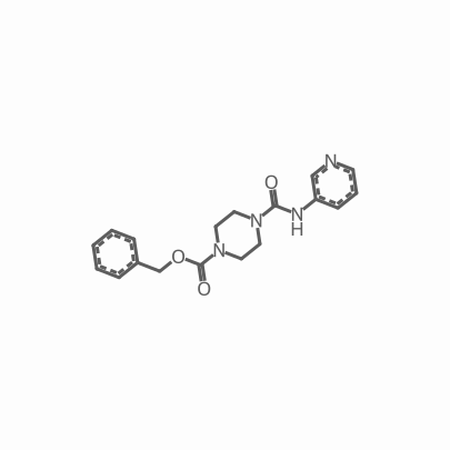 O=C(Nc1cccnc1)N1CCN(C(=O)OCc2ccccc2)CC1